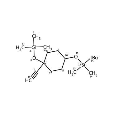 C#CC1(O[Si](C)(C)C)CCC(O[Si](C)(C)C(C)(C)C)CC1